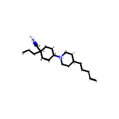 CCCCCC1CCN(C2CCC(C#N)(CCC)CC2)CC1